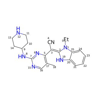 CCN1/C(=C(\C#N)c2nc(NC3CCNCC3)ncc2C)Nc2ccccc21